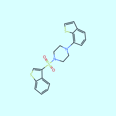 O=S(=O)(c1csc2ccccc12)N1CCN(c2cccc3ccsc23)CC1